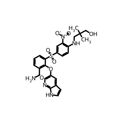 CC(C)(CO)CNc1ccc(S(=O)(=O)c2cccc(C(N)=O)c2Oc2cnc3[nH]ccc3c2)cc1[N+](=O)[O-]